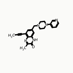 CC#Cc1cc(CN2CCN(c3cccnc3)CC2)cc2[nH]c(=O)c(C)nc12